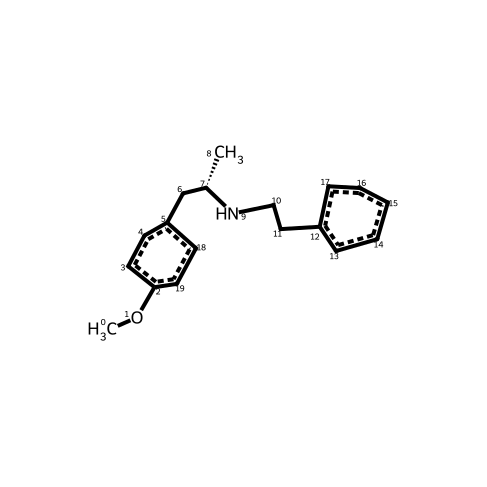 COc1ccc(C[C@H](C)NCCc2ccccc2)cc1